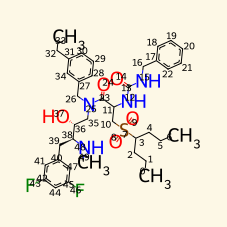 CCCC(CCC)S(=O)(=O)CC(NC(=O)NCc1ccccc1)C(=O)N(Cc1cccc(CC)c1)C[C@@H](O)[C@H](Cc1cc(F)cc(F)c1)NC